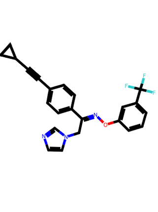 FC(F)(F)c1cccc(O/N=C(\Cn2ccnc2)c2ccc(C#CC3CC3)cc2)c1